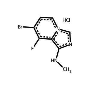 CNc1ncn2ccc(Br)c(F)c12.Cl